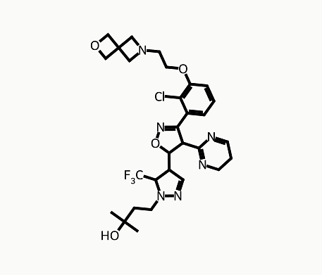 CC(C)(O)CCN1N=CC(C2ON=C(c3cccc(OCCN4CC5(COC5)C4)c3Cl)C2C2=NCCC=N2)C1C(F)(F)F